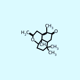 C=C1CC2=C(C)C(=O)CC3C(C)(C)CCC(O1)[C@]23C